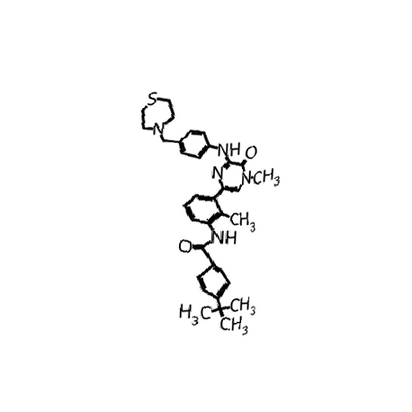 Cc1c(NC(=O)c2ccc(C(C)(C)C)cc2)cccc1-c1cn(C)c(=O)c(Nc2ccc(CN3CCSCC3)cc2)n1